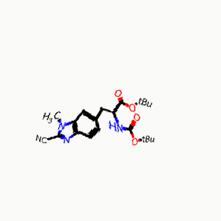 Cn1c(C#N)nc2ccc(C[C@H](NC(=O)OC(C)(C)C)C(=O)OC(C)(C)C)cc21